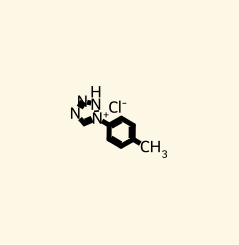 Cc1ccc(-[n+]2cnn[nH]2)cc1.[Cl-]